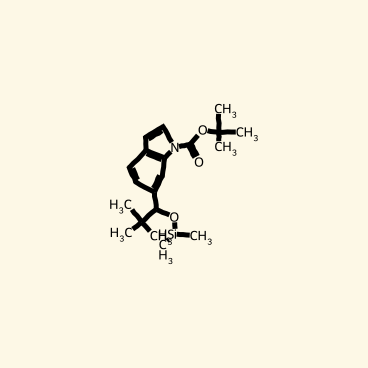 C[SiH](C)OC(c1ccc2ccn(C(=O)OC(C)(C)C)c2c1)C(C)(C)C